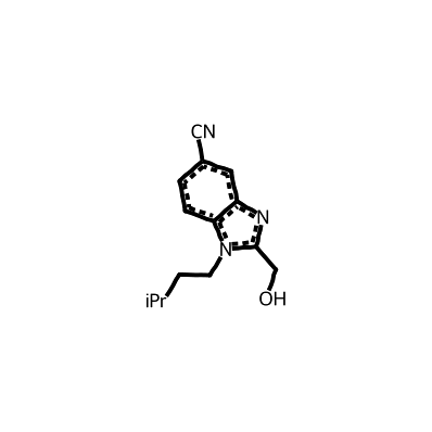 CC(C)CCn1c(CO)nc2cc(C#N)ccc21